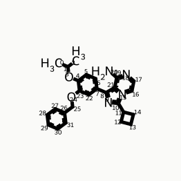 CC(C)Oc1ccc(-c2nc(C3CCC3)n3ccnc(N)c23)cc1OCc1ccccc1